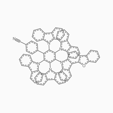 N#Cc1ccc(-c2c(-n3c4ccccc4c4ccccc43)c(-n3c4ccccc4c4ccccc43)c(-n3c4ccccc4c4c5oc6ccccc6c5ccc43)c(-n3c4ccccc4c4ccccc43)c2-n2c3ccccc3c3ccccc32)cc1